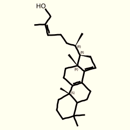 CC(=CCC[C@@H](C)[C@H]1CC=C2C3=C(CC[C@@]21C)[C@@]1(C)CCCC(C)(C)C1CC3)CO